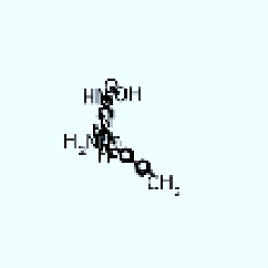 CCc1ccc(-c2ccc([C@@H](Oc3cc(N4CCC5(CC4)CN[C@H](C(=O)O)C5)nc(N)n3)C(F)(F)F)cc2)cc1